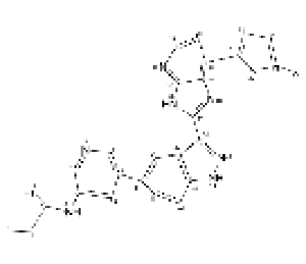 CCC(O)Nc1cncc(-c2ccc3[nH]nc(-c4nc5c(-c6ccc(C)s6)ccnc5[nH]4)c3c2)c1